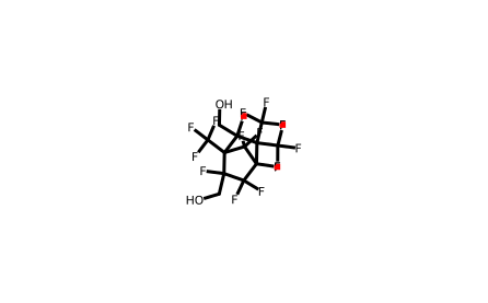 OCC1(F)C(F)(F)C2(F)C(F)(F)C1(C(F)(F)F)C(F)(CO)C2(C(F)(F)F)C(F)(F)F